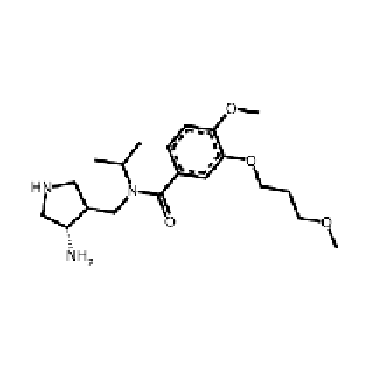 COCCCOc1cc(C(=O)N(C[C@@H]2CNC[C@H]2N)C(C)C)ccc1OC